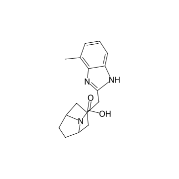 Cc1cccc2[nH]c(CC3CC4CCC(C3)N4C(=O)O)nc12